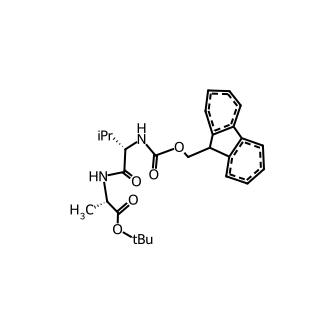 CC(C)[C@H](NC(=O)OCC1c2ccccc2-c2ccccc21)C(=O)N[C@@H](C)C(=O)OC(C)(C)C